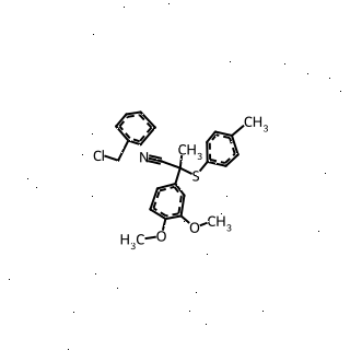 COc1ccc(C(C)(C#N)Sc2ccc(C)cc2)cc1OC.ClCc1ccccc1